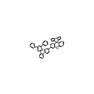 c1ccc(-c2cc(-c3ccccc3)nc(-c3ccccc3-c3ccc(-c4ccc5c(c4)Oc4ccccc4C54c5ccccc5-c5ccccc54)cc3)n2)cc1